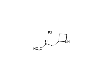 Cl.O=C(O)NCC1CCN1